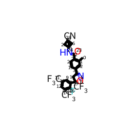 Cc1cc(C2=NOC(c3cc(C(F)(F)F)cc(C(F)(F)F)c3F)(C(F)(F)F)C2)ccc1C(=O)NC12CC(C#N)(C1)C2